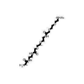 CC(=O)NCCOCCOCC(=O)NCCOCCOCC(=O)NCCNC(=O)CN